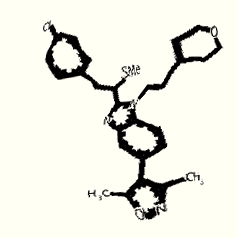 CSC(Cc1ccc(Cl)cc1)c1nc2cc(-c3c(C)noc3C)ccc2n1CCC1CCOCC1